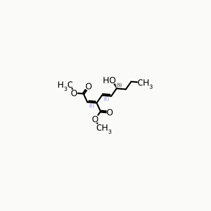 CCC[C@H](O)/C=C/C(=C\C(=O)OC)C(=O)OC